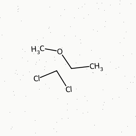 CCOC.ClCCl